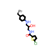 C[C](C)Cc1ccc(NCC(O)CNC(=O)c2ccc(Cl)s2)cc1